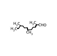 C=CC(C)CCC=C(C)CCC=C(C)C=O